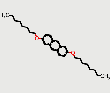 CCCCCCCCOc1ccc2cc3cc(OCCCCCCCC)ccc3cc2c1